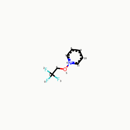 FC(F)(F)CO[n+]1ccccc1